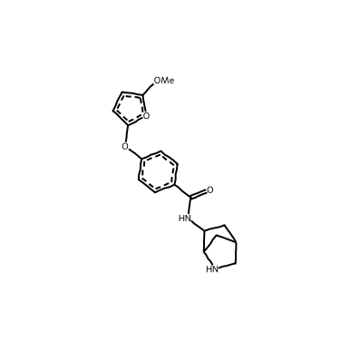 COc1ccc(Oc2ccc(C(=O)NC3CC4CNC3C4)cc2)o1